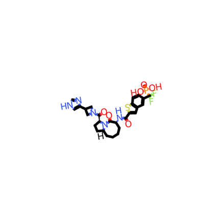 O=C(N[C@H]1CCCC[C@H]2CC[C@@H](C(=O)N3CC(c4c[nH]cn4)C3)N2C1=O)c1cc2cc(C(F)(F)P(=O)(O)O)ccc2s1